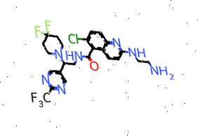 NCCNc1ccc2c(C(=O)NCC(c3cnc(C(F)(F)F)nc3)N3CCC(F)(F)CC3)c(Cl)ccc2n1